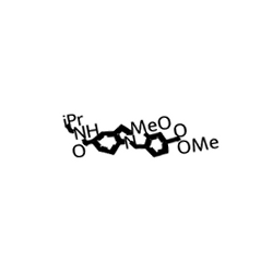 COC(=O)c1ccc(Cn2ccc3cc(C(=O)NCC(C)C)ccc32)c(OC)c1